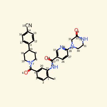 Cc1ccc(C(=O)N2CCC(c3ccc(C#N)cc3)CC2)cc1NC(=O)c1ccc(N2CCNC(=O)C2)nc1